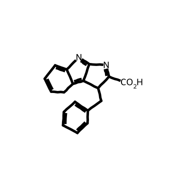 O=C(O)C1=NC2=NC3=CC=CCC3=C2C1Cc1ccccc1